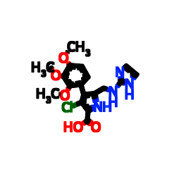 COc1ccc(-c2c(CNc3ncc[nH]3)[nH]c(C(=O)O)c2Cl)c(OC)c1OC